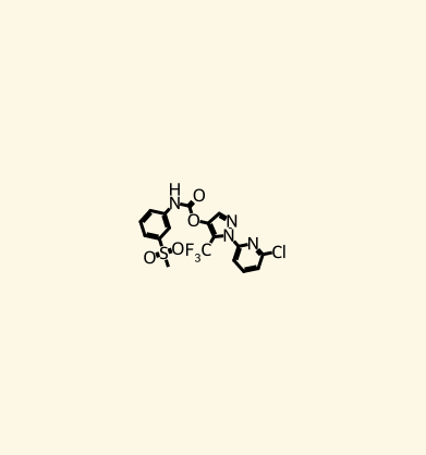 CS(=O)(=O)c1cccc(NC(=O)Oc2cnn(-c3cccc(Cl)n3)c2C(F)(F)F)c1